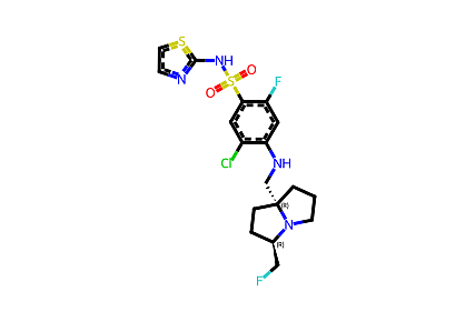 O=S(=O)(Nc1nccs1)c1cc(Cl)c(NC[C@]23CCCN2[C@@H](CF)CC3)cc1F